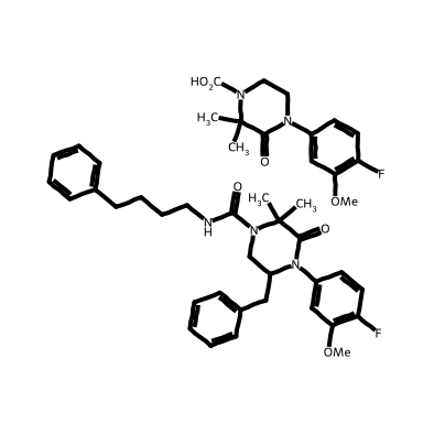 COc1cc(N2C(=O)C(C)(C)N(C(=O)NCCCCc3ccccc3)CC2Cc2ccccc2)ccc1F.COc1cc(N2CCN(C(=O)O)C(C)(C)C2=O)ccc1F